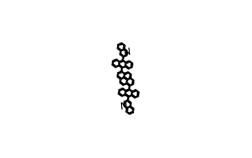 c1ccc2ncc(-c3c4ccccc4c(-c4ccc5ccc6c(-c7c8ccccc8c(-c8cnc9ccccc9c8)c8ccccc78)ccc7ccc4c5c76)c4ccccc34)cc2c1